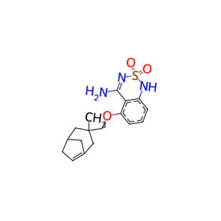 CC1(COc2cccc3c2C(N)=NS(=O)(=O)N3)CC2=CCC(C2)C1